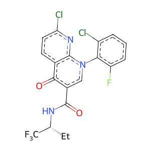 CC[C@@H](NC(=O)c1cn(-c2c(F)cccc2Cl)c2nc(Cl)ccc2c1=O)C(F)(F)F